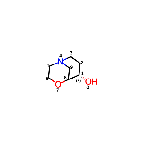 O[C@H]1CCN2CCOC1C2